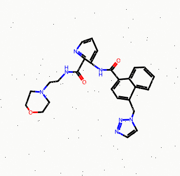 O=C(NCCN1CCOCC1)c1ncccc1NC(=O)c1ccc(Cn2ccnn2)c2ccccc12